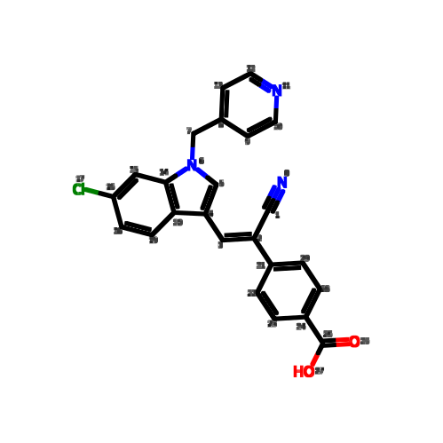 N#CC(=Cc1cn(Cc2ccncc2)c2cc(Cl)ccc12)c1ccc(C(=O)O)cc1